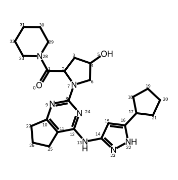 O=C(C1CC(O)CN1c1nc2c(c(Nc3cc(C4CCCC4)[nH]n3)n1)CCC2)N1CCCCC1